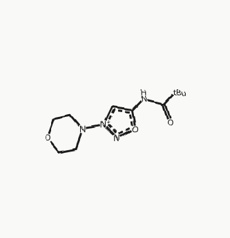 CC(C)(C)C(=O)Nc1c[n+](N2CCOCC2)no1